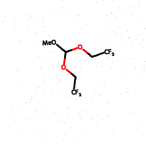 COC(OCC(F)(F)F)OCC(F)(F)F